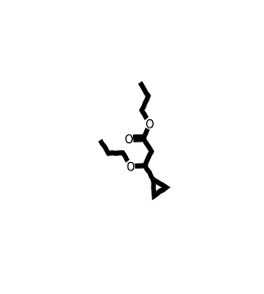 CCCOC(=O)CC(OCCC)C1CC1